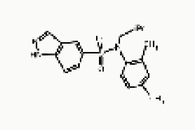 Cc1ccc(N(CC(C)C)S(=O)(=O)c2ccc3[nH]ncc3c2)c(C)c1